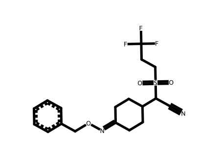 N#CC(C1CCC(=NOCc2ccccc2)CC1)S(=O)(=O)CCC(F)(F)F